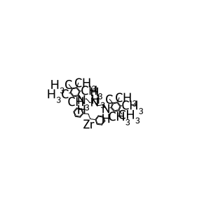 Cc1c(C)c(C)c(NCCNCCNc2c(C)c(C)c(C)c(C)c2C)c(C)c1C.[Zr].c1ccc(CCc2ccccc2)cc1